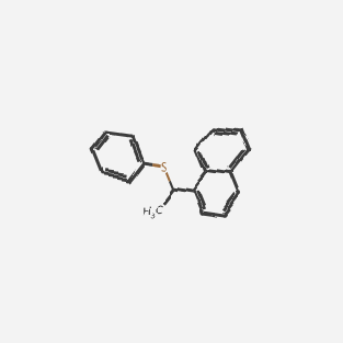 CC(Sc1ccccc1)c1cccc2ccccc12